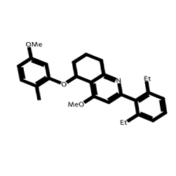 CCc1cccc(CC)c1-c1cc(OC)c2c(n1)CCCC2Oc1cc(OC)ccc1C